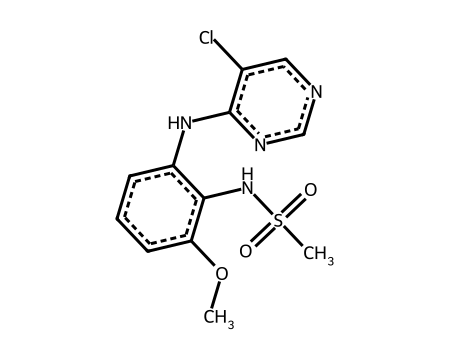 COc1cccc(Nc2ncncc2Cl)c1NS(C)(=O)=O